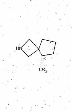 C[C@H]1CCCC12CNC2